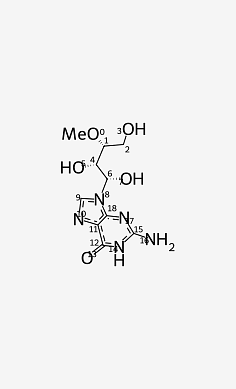 CO[C@H](CO)[C@@H](O)[C@H](O)n1cnc2c(=O)[nH]c(N)nc21